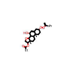 C=C(CCC)OO[C@H]1CC[C@@]2(C)C(=C[C@H](O)C3C4OCC(OC(=O)CC)[C@@]4(C)CCC32)C1